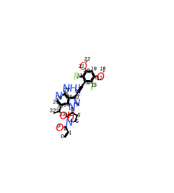 C=CC(=O)N1CC[C@H](n2nc(C#Cc3c(F)c(OC)cc(OC)c3F)c3c(N)ncc(C(C)O)c32)C1